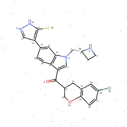 O=C(c1cn(C[C@H]2CCN2)c2cc(-c3cn[nH]c3F)ccc12)C1COc2ccc(Cl)cc2C1